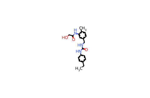 CCc1ccc(NC(=O)NCc2ccc(C)c(NC(=O)CO)c2)cc1